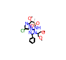 COCC(COC)n1c(NS(=O)(=O)[C@@H](C)[C@H](OC)c2ncc(Cl)cn2)nnc1-c1ccccc1